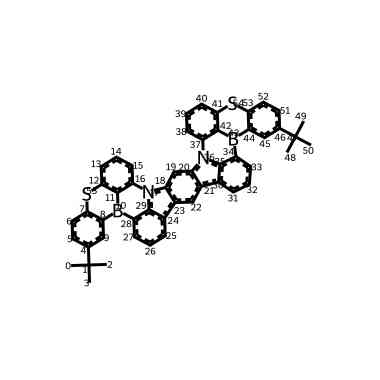 CC(C)(C)c1ccc2c(c1)B1c3c(cccc3-n3c4cc5c(cc4c4cccc1c43)c1cccc3c1n5-c1cccc4c1B3c1cc(C(C)(C)C)ccc1S4)S2